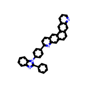 c1ccc(-c2nc3ccccc3n2-c2ccc(-c3ccc4cc5c(ccc6cc7ncccc7cc65)cc4n3)cc2)cc1